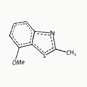 COc1cccc2nc(C)sc12